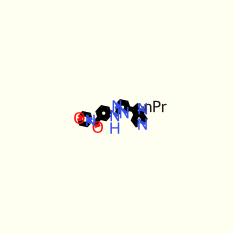 CCCn1cc(-c2ccnc(Nc3cccc(C(=O)N4CCOCC4)c3)n2)c2ccncc21